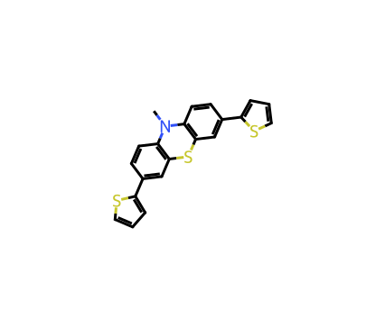 CN1c2ccc(-c3cccs3)cc2Sc2cc(-c3cccs3)ccc21